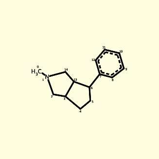 CN1CC2CCC(c3ccccc3)C2C1